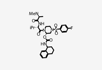 CN[C@@H](C)C(=O)N[C@H](C(=O)N1CCN(S(=O)(=O)c2ccc(F)cc2)C[C@@H]1OC(=O)NC1CCCc2ccccc21)C(C)C